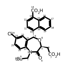 CC(C)(C)CN1C(=O)[C@H](CC(=O)O)O[C@@H](c2ccc(C(=O)O)c3ccccc23)c2cc(Cl)ccc21